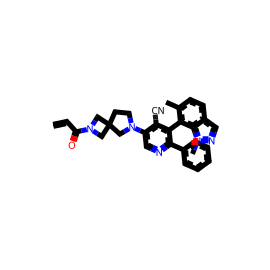 C=CC(=O)N1CC2(CCN(c3cnc(-c4ccccc4)c(-c4c(C)ccc5cnn(C)c45)c3C#N)C2)C1